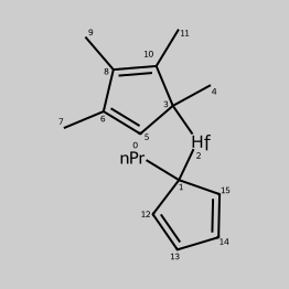 CCC[C]1([Hf][C]2(C)C=C(C)C(C)=C2C)C=CC=C1